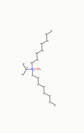 CCCCCCCC[N+]([O-])(CCCCCCCC)C(C)C